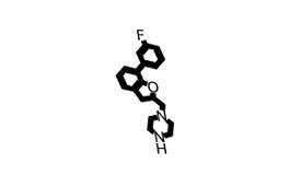 Fc1cccc(-c2cccc3c2OC(CN2CCNCC2)C3)c1